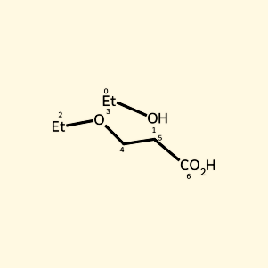 CCO.CCOCCC(=O)O